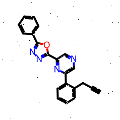 C#CCc1ccccc1-c1cncc(-c2nnc(-c3ccccc3)o2)n1